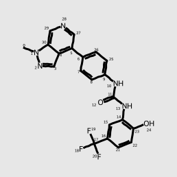 Cn1ncc2c(-c3ccc(NC(=O)Nc4cc(C(F)(F)F)ccc4O)cc3)cncc21